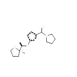 C[C@@]1(C(=O)Nc2ccc(C(O)N3CCCC3)s2)CCCN1